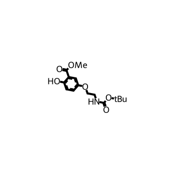 COC(=O)c1cc(OCCNC(=O)OC(C)(C)C)ccc1O